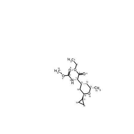 CCOC(=O)[C@@H](NC(=O)OC)[C@@H]1C[C@H](C)O[C@@H](C2CC2)C1